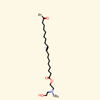 CCCCN(CCO)CCOC(=O)CCCCCCC/C=C/CCCCCCCC(=O)C(C)C